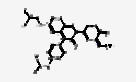 CN/C=C1/C=C(n2cc3ccc(OCC(F)F)nc3c(-c3ccc(OC(F)F)cc3)c2=O)C=CC1=N